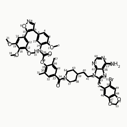 COc1ccc(-c2cnoc2-c2cc(OC)c(OC)c(OC)c2)cc1NC(=O)Oc1c(C)cc(C(=O)N2CCC(CCn3c(Sc4cc5c(cc4Br)OCO5)nc4c(N)ncnc43)CC2)cc1C